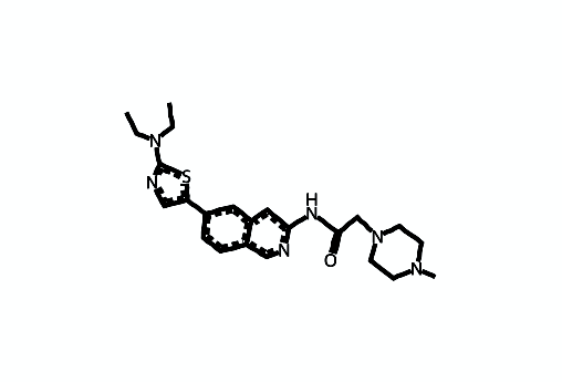 CCN(CC)c1ncc(-c2ccc3cnc(NC(=O)CN4CCN(C)CC4)cc3c2)s1